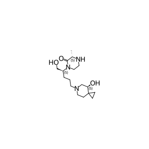 C[C@@H]1NCCN([C@H](CO)CCCN2CCC3(CC3)[C@H](O)C2)C1=O